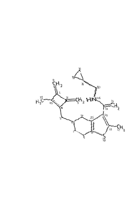 C=C1C(=C)C(CC2CCc3sc(C)c(C(=C)NCC4CC4)c3C2)=C1C